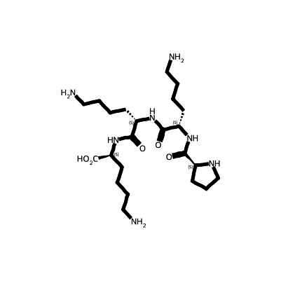 NCCCC[C@H](NC(=O)[C@H](CCCCN)NC(=O)[C@H](CCCCN)NC(=O)[C@@H]1CCCN1)C(=O)O